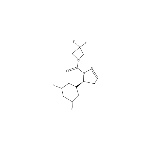 O=C(N1CC(F)(F)C1)N1N=CC[C@H]1C1CC(F)CC(F)C1